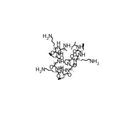 C#CC[C@H](NC(=O)[C@H](CCCCN)NC(=O)[C@@H]1CCCN1C(=O)[C@H](C)NC(=O)[C@H](CC#C)NC(=O)[C@H](CCCCN)NC(=O)[C@H](C)NC(=O)[C@H](CC#C)NC(=O)[C@H](CCCCN)NC(=O)[C@H](C)N)C(=O)NC(C)C